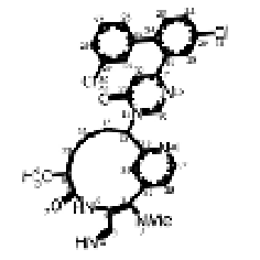 CN/C1=C(\C=N)NC(=O)C(C)CCCC(n2cnc(-c3cc(Cl)ccc3-c3cccc(Cl)c3)cc2=O)c2cc1ccn2